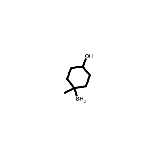 BC1(C)CCC(O)CC1